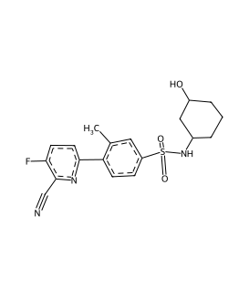 Cc1cc(S(=O)(=O)NC2CCCC(O)C2)ccc1-c1ccc(F)c(C#N)n1